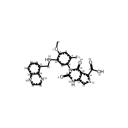 COc1cc(F)c(-n2c(=O)[nH]c3csc(C(=O)O)c3c2=O)cc1NCc1cccc2nccnc12